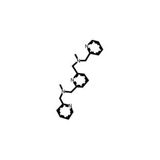 CN(Cc1ccccn1)Cc1cccc(CN(C)Cc2ccccn2)n1